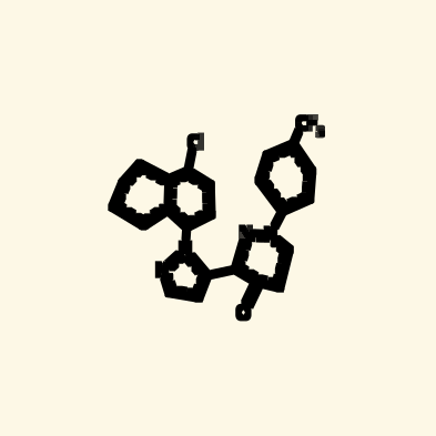 O=c1ccn(-c2ccc(C(F)(F)F)cc2)nc1-c1ccnn1-c1ccc(Cl)c2ccccc12